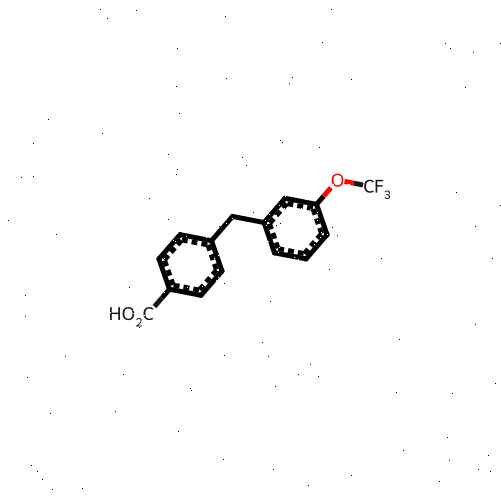 O=C(O)c1ccc(Cc2cccc(OC(F)(F)F)c2)cc1